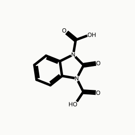 O=C(O)n1c(=O)n(C(=O)O)c2ccccc21